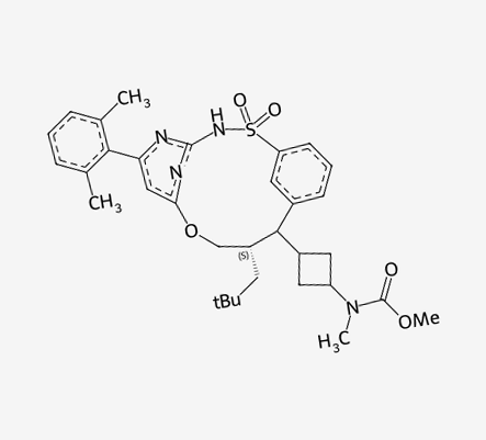 COC(=O)N(C)C1CC(C2c3cccc(c3)S(=O)(=O)Nc3nc(cc(-c4c(C)cccc4C)n3)OC[C@H]2CC(C)(C)C)C1